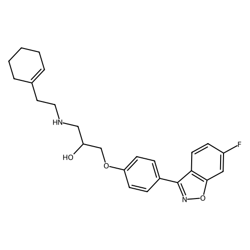 OC(CNCCC1=CCCCC1)COc1ccc(-c2noc3cc(F)ccc23)cc1